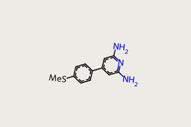 CSc1ccc(-c2cc(N)nc(N)c2)cc1